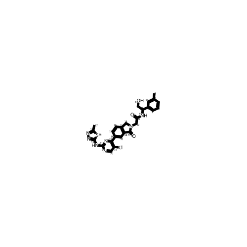 Cc1cccc(C(CO)NC(=O)CN2Cc3ccc(-c4nc(Nc5nnc(C)s5)ncc4Cl)cc3C2=O)c1